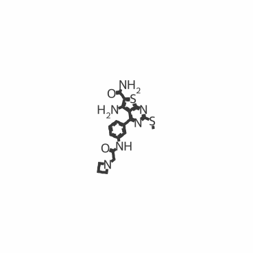 CSc1nc(-c2cccc(NC(=O)CN3CCC3)c2)c2c(N)c(C(N)=O)sc2n1